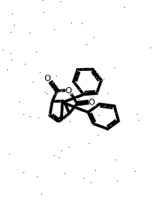 O=C1OC(=O)C2C3=CC1C2C(c1ccccc1)(c1ccccc1)C3